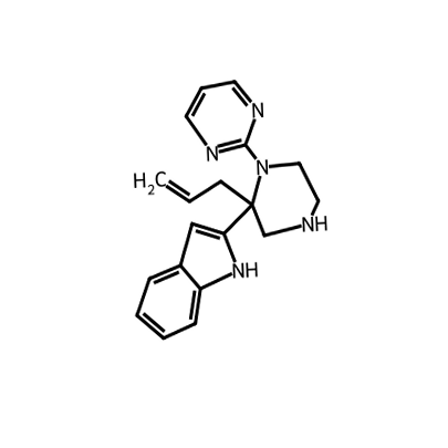 C=CCC1(c2cc3ccccc3[nH]2)CNCCN1c1ncccn1